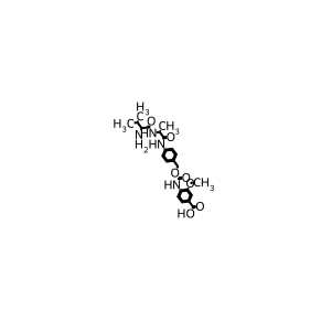 COc1cc(C(=O)O)ccc1NC(=O)OCc1ccc(NC(=O)[C@H](C)NC(=O)C(N)C(C)C)cc1